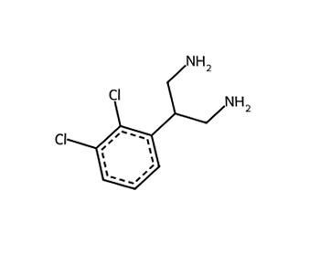 NCC(CN)c1cccc(Cl)c1Cl